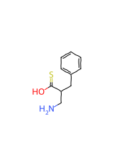 NCC(Cc1ccccc1)C(O)=S